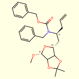 C=CC[C@@H](C[C@H]1O[C@@H](OC)C2OC(C)(C)OC21)N(Cc1ccccc1)C(=O)OCc1ccccc1